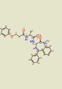 C[C@H](NC(=O)CCOc1ccccc1)C(=O)N[C@H]1N=C(c2ccccc2)c2ccccc2N(C)C1=O